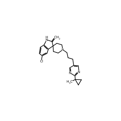 C=C1Nc2ccc(Cl)cc2C12CCN(CCCc1cnc(C3(C)CC3)nc1)CC2